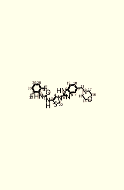 O=C(NC1=CN(c2nc3cc(CN4CCOCC4)ccc3[nH]2)CS1)Nc1c(F)cccc1F